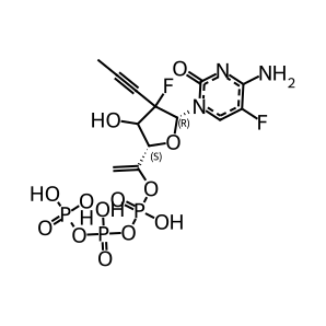 C=C(OP(=O)(O)OP(=O)(O)OP(=O)(O)O)[C@H]1O[C@@H](n2cc(F)c(N)nc2=O)C(F)(C#CC)C1O